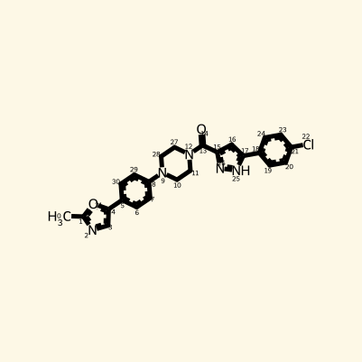 Cc1ncc(-c2ccc(N3CCN(C(=O)c4cc(-c5ccc(Cl)cc5)[nH]n4)CC3)cc2)o1